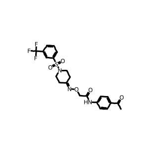 CC(=O)c1ccc(NC(=O)CON=C2CCN(S(=O)(=O)c3cccc(C(F)(F)F)c3)CC2)cc1